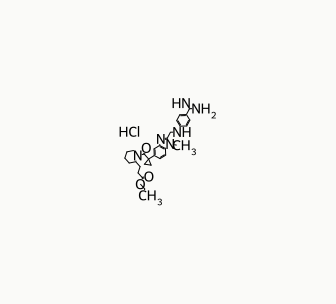 CCOC(=O)CCC1CCCCN1C(=O)C1(c2ccc3c(c2)nc(CNc2ccc(C(=N)N)cc2)n3C)CC1.Cl